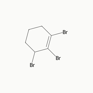 BrC1=C(Br)C(Br)CCC1